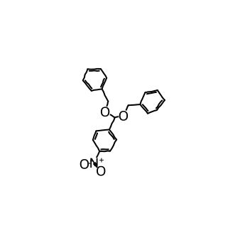 O=[N+]([O-])c1ccc(C(OCc2ccccc2)OCc2ccccc2)cc1